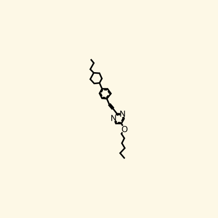 CCCCCCOc1cnc(C#Cc2ccc(C3CCC(CCC)CC3)cc2)nc1